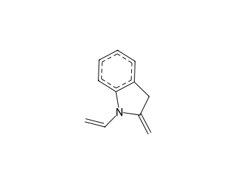 C=CN1C(=C)Cc2ccccc21